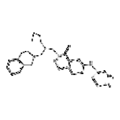 N/C=C\C(=C/N)Nc1ccc2cnn(CC(CN3CCc4ccccc4C3)C3CCC3)c(=O)c2c1